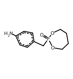 Nc1ccc(CP2(=O)OCCCCO2)cc1